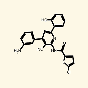 N#Cc1c(-c2cccc(N)c2)cc(-c2ccccc2O)nc1NC(=O)c1ccc(Cl)s1